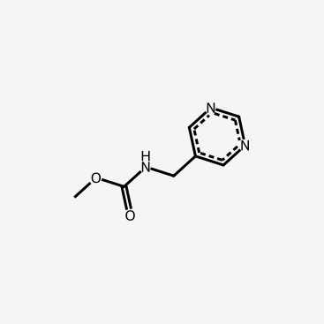 COC(=O)NCc1cncnc1